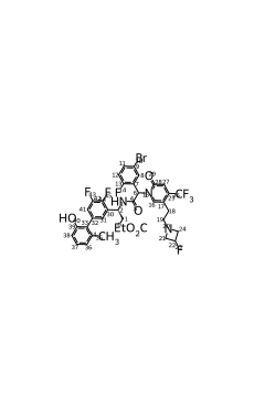 CCOC(=O)C[C@H](NC(=O)C(c1cc(Br)ccc1F)n1cc(CCN2CC(F)C2)c(C(F)(F)F)cc1=O)c1cc(-c2c(C)cccc2O)cc(F)c1F